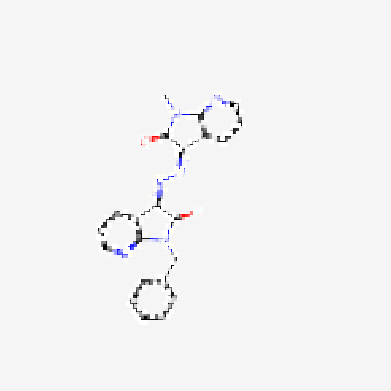 CN1C(=O)/C(=N\N=C2/C(=O)N(Cc3ccccc3)c3ncccc32)c2cccnc21